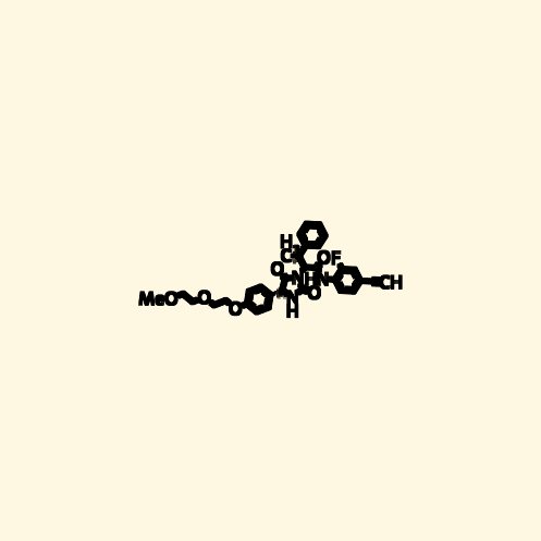 C#Cc1ccc(NC(=O)C([C@@H](C)c2ccccc2)N2C(=O)N[C@H](c3ccc(OCCOCCOC)cc3)C2=O)c(F)c1